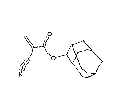 C=C(C#N)C(=O)OC1C2CC3CC(C2)CC1C3